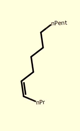 [CH2]CC/C=C\CCCCCCCCC